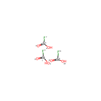 O=[Si](O)F.O=[Si](O)F.O=[Si](O)F